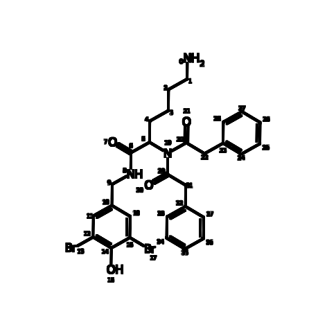 NCCCCC(C(=O)NCc1cc(Br)c(O)c(Br)c1)N(C(=O)Cc1ccccc1)C(=O)Cc1ccccc1